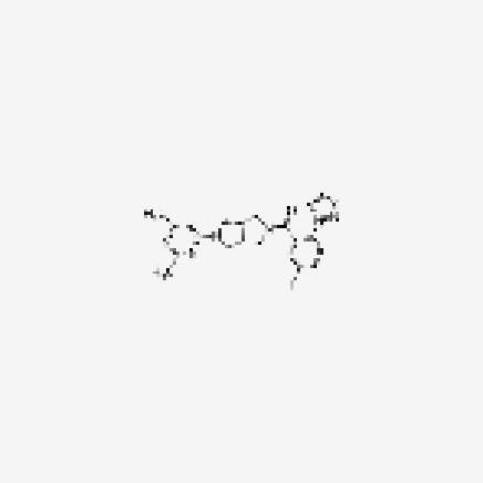 Cc1cc(N2C=C3CN(C(=O)c4cc(F)ccc4-n4nccn4)CC3C2)nc(C)n1